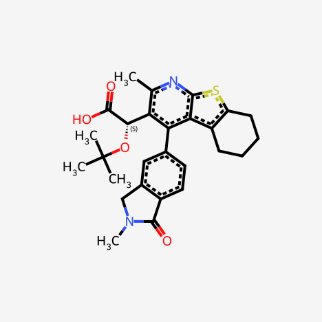 Cc1nc2sc3c(c2c(-c2ccc4c(c2)CN(C)C4=O)c1[C@H](OC(C)(C)C)C(=O)O)CCCC3